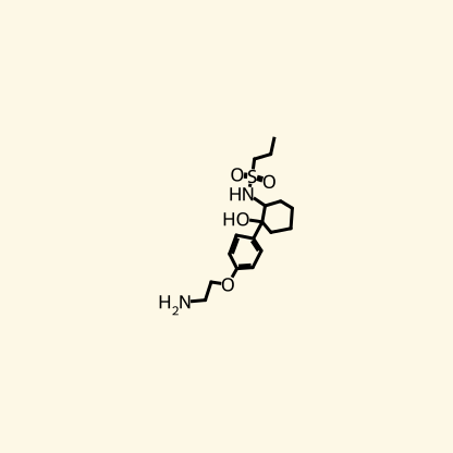 CCCS(=O)(=O)NC1CCCCC1(O)c1ccc(OCCN)cc1